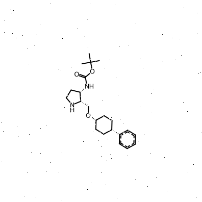 CC(C)(C)OC(=O)N[C@H]1CCN[C@H]1CO[C@H]1CC[C@@H](c2ccccc2)CC1